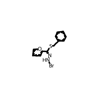 BrNN=C(SCc1ccccc1)c1ccco1